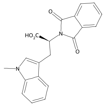 Cn1cc(C[C@@H](C(=O)O)N2C(=O)c3ccccc3C2=O)c2ccccc21